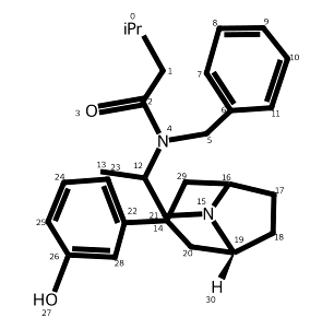 CC(C)CC(=O)N(Cc1ccccc1)C(C)CN1C2CC[C@@H]1CC(c1cccc(O)c1)C2